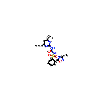 COc1cc(C)nc(NC(=O)NS(=O)(=O)c2ccccc2-c2nc(C)no2)n1